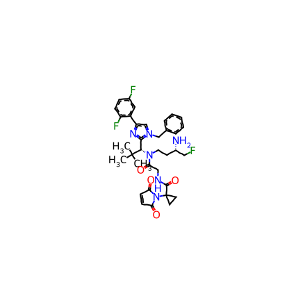 CC(C)(C)[C@H](c1nc(-c2cc(F)ccc2F)cn1Cc1ccccc1)N(CC[C@H](N)CF)C(=O)CNC(=O)C1(N2C(=O)C=CC2=O)CC1